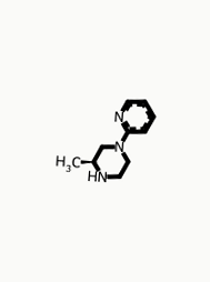 C[C@H]1CN(c2ccccn2)CCN1